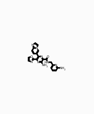 Nc1cccc(CNC(=O)c2nc(-c3ccc4nccn4c3)c(-c3ncco3)nc2N)n1